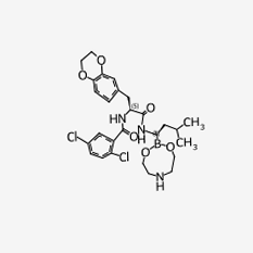 CC(C)C[C@H](NC(=O)[C@H](Cc1ccc2c(c1)OCCO2)NC(=O)c1cc(Cl)ccc1Cl)B1OCCNCCO1